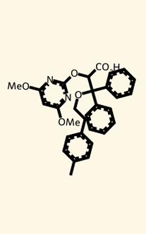 COc1cc(OC)nc(OC(C(=O)O)C(OCCc2ccc(C)cc2)(c2ccccc2)c2ccccc2)n1